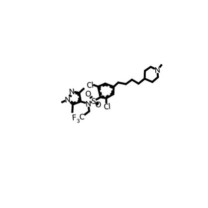 Cc1nn(C)c(C)c1N(CC(F)(F)F)S(=O)(=O)c1c(Cl)cc(CCCCC2CCN(C)CC2)cc1Cl